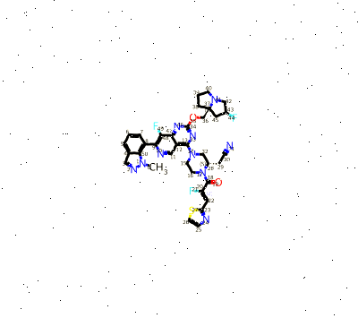 Cn1ncc2cccc(-c3ncc4c(N5CCN(C(=O)/C(F)=C/c6nccs6)[C@@H](CC#N)C5)nc(OC[C@@]56CCCN5CC(F)C6)nc4c3F)c21